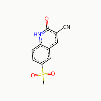 CS(=O)(=O)c1ccc2[nH]c(=O)c(C#N)cc2c1